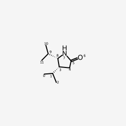 CC(C)[C@H]1CC(=O)N[C@H]1C(C)C